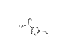 CC(C)c1coc(C=O)c1